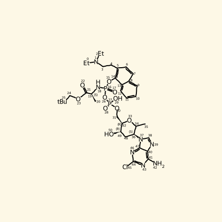 CCN(CC)CCc1ccc2ccccc2c1OP(=O)(N[C@@H](C)C(=O)OCC(C)(C)C)OP(=O)(O)OC[C@H]1OC(C)[C@@H](n2cnc3c(N)nc(Cl)nc32)C[C@H]1O